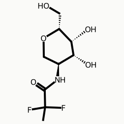 CC(F)(F)C(=O)N[C@H]1CO[C@H](CO)[C@H](O)[C@@H]1O